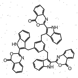 O=c1oc(-c2[nH]c3ccccc3c2Cc2cc(Cc3c(-c4nc5ccccc5c(=O)o4)[nH]c4ccccc34)cc(Cc3c(-c4nc5ccccc5c(=O)o4)[nH]c4ccccc34)c2)nc2ccccc12